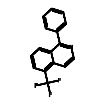 FC(F)(F)c1cccc2c(-c3ccccc3)nccc12